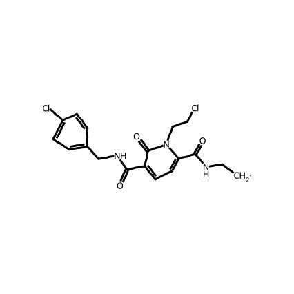 [CH2]CNC(=O)c1ccc(C(=O)NCc2ccc(Cl)cc2)c(=O)n1CCCl